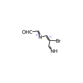 N=C/C(Br)=C\N=C\C=O